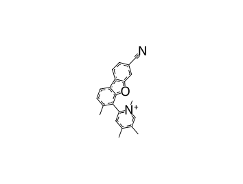 Cc1cc(-c2c(C)ccc3c2oc2cc(C#N)ccc23)[n+](C)cc1C